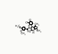 COc1ccc(C(=O)N[C@@H]2C(=O)Nc3c(c(C)nn3C)[C@@H]2c2ccc(Cl)c(Cl)c2)cc1OC